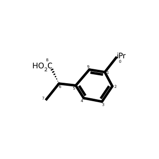 CC(C)c1cccc([C@H](C)C(=O)O)c1